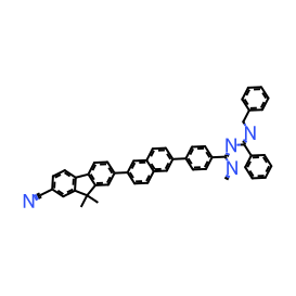 C=N/C(=N\C(=N/Cc1ccccc1)c1ccccc1)c1ccc(-c2ccc3cc(-c4ccc5c(c4)C(C)(C)c4cc(C#N)ccc4-5)ccc3c2)cc1